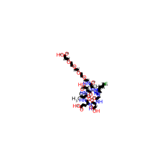 CC(C)[C@H](NC(=O)[C@H](CCC(=O)O)NC(=O)[C@H](CC(=O)O)NC(=O)Cn1cc(CCCF)nn1)C(=O)N[C@@H](CC(=O)O)C(=O)NC(C)(C)C(=O)NCCOCCOCCOCCOCCC(=O)O